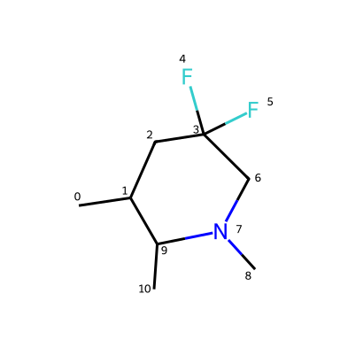 CC1CC(F)(F)CN(C)C1C